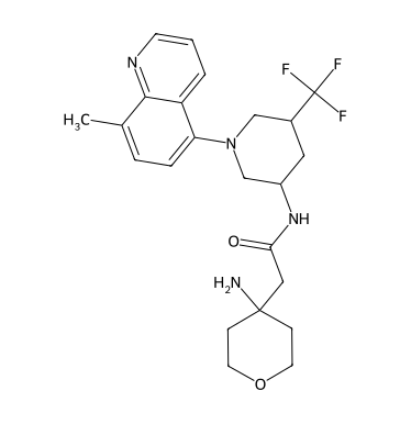 Cc1ccc(N2CC(NC(=O)CC3(N)CCOCC3)CC(C(F)(F)F)C2)c2cccnc12